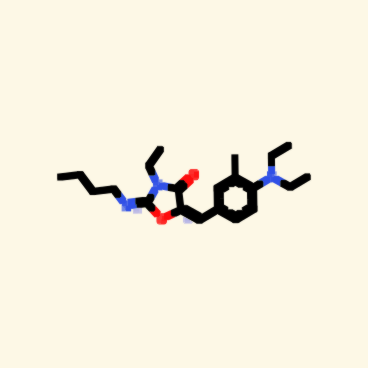 CCCC/N=C1/O/C(=C/c2ccc(N(CC)CC)c(C)c2)C(=O)N1CC